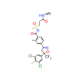 CCCNC(=O)CCS(C)(=O)=NC(=O)c1ccc(C2=NOC(c3cc(Cl)c(F)c(Cl)c3)(C(F)(F)F)C2)cc1C